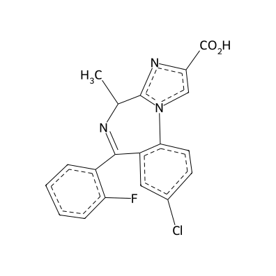 CC1N=C(c2ccccc2F)c2cc(Cl)ccc2-n2cc(C(=O)O)nc21